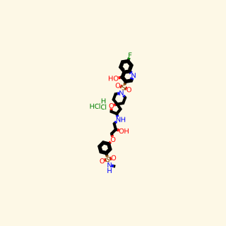 CNS(=O)(=O)c1cccc(OCC(O)CNC2COC3(CCN(S(=O)(=O)c4cnc5cc(F)ccc5c4O)CC3)C2)c1.Cl.Cl